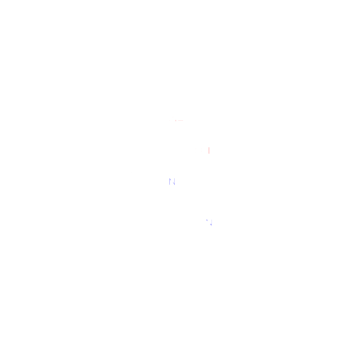 N#CCN1CCCCC1C(O)O